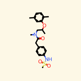 Cc1ccc(C)c(OC(C)CN(C)C(=O)Cc2ccc(NS(C)(=O)=O)cc2)c1